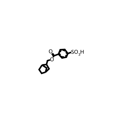 O=C(OCC1CC2CCC1C2)c1ccc(S(=O)(=O)O)cc1